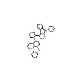 c1ccc(-n2c3ccccc3c3c(-c4ccccc4-c4ccc5c6c(cccc46)-c4ccccc4S5)cccc32)cc1